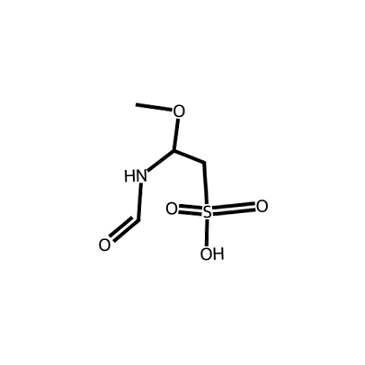 COC(CS(=O)(=O)O)NC=O